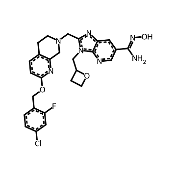 NC(=NO)c1cnc2c(c1)nc(CN1CCc3ccc(OCc4ccc(Cl)cc4F)nc3C1)n2CC1CCO1